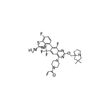 C=CC(=O)N1CCN(c2nc(OCC34CCCN3CC(C)(C)C4)nc3c(F)c(-c4ccc(F)c5sc(N)nc45)c(C(F)(F)F)cc23)CC1